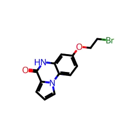 O=c1[nH]c2cc(OCCBr)ccc2n2cccc12